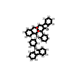 c1cc(N(c2ccccc2-c2cccc3c2sc2ccccc23)c2cccc3ccccc23)cc(-n2c3ccccc3c3ccccc32)c1